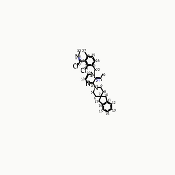 C/C=C1/C(N2CCC3(CC2)Cc2ccccc2C3)=NC=CN1Cc1ccc(C)c(/C(Cl)=N\C)c1Cl